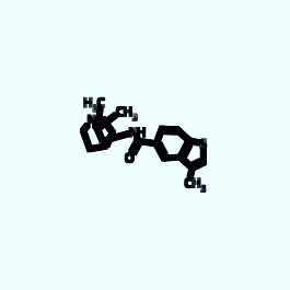 Cc1csc2ccc(C(=O)NC3C4CCN(CC4)C3(C)C)cc12